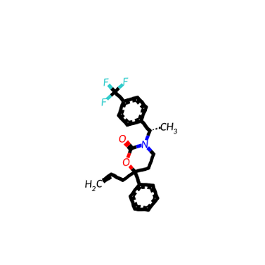 C=CCC1(c2ccccc2)CCN([C@@H](C)c2ccc(C(F)(F)F)cc2)C(=O)O1